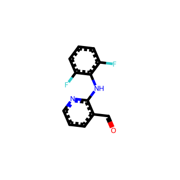 O=Cc1cccnc1Nc1c(F)cccc1F